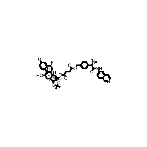 CN(C)C(C(=O)Nc1ccc2cnccc2c1)c1ccc(COC(=O)CCC(=O)OCC(=O)[C@@]23OC(C)(C)O[C@@H]2C[C@H]2[C@@H]4C[C@H](F)C5=CC(=O)C=C[C@]5(C)[C@@]4(F)[C@@H](O)C[C@@]23C)cc1